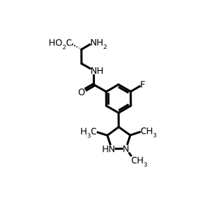 CC1NN(C)C(C)C1c1cc(F)cc(C(=O)NC[C@@H](N)C(=O)O)c1